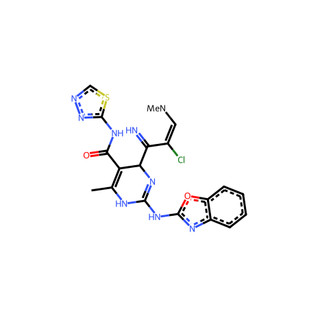 CN/C=C(/Cl)C(=N)C1N=C(Nc2nc3ccccc3o2)NC(C)=C1C(=O)Nc1nncs1